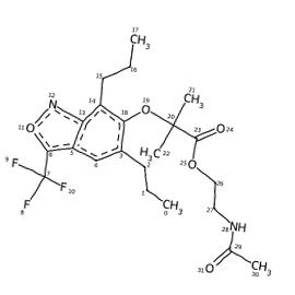 CCCc1cc2c(C(F)(F)F)onc2c(CCC)c1OC(C)(C)C(=O)OCCNC(C)=O